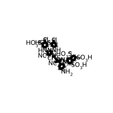 Cc1c(C#N)c(Nc2ccc(Cl)c(S(=O)(=O)O)c2)nc(Nc2ccc(Cl)c(S(=O)(=O)O)c2)c1N=Nc1sc(N=Nc2cc(S(=O)(=O)O)c3cc(S(=O)(=O)O)cc(S(=O)(=O)O)c3c2)c(-c2ccc(N)cc2)c1C#N